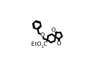 CCOC(=O)C1(COCc2ccccc2)CCC2(CC1)C(=O)CCC2=O